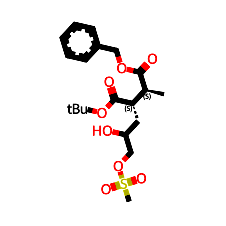 C[C@H](C(=O)OCc1ccccc1)[C@H](CC(O)COS(C)(=O)=O)C(=O)OC(C)(C)C